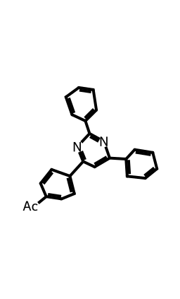 CC(=O)c1ccc(-c2cc(-c3ccccc3)nc(-c3ccccc3)n2)cc1